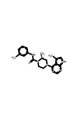 Cc1cccc(NC(=O)N2CCN(c3ncnc4[nH]cc(C)c34)C[C@@H]2C)c1